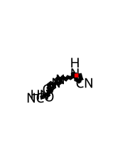 N#CCNC(=O)c1cc2cc(N3CCN(CCCCc4c[nH]c5ccc(C#N)cc45)CC3)ccc2o1